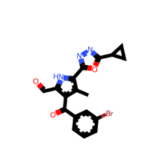 Cc1c(-c2nnc(C3CC3)o2)[nH]c(C=O)c1C(=O)c1cccc(Br)c1